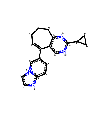 C1=C(c2ccc3nccn3c2)c2cnc(C3CC3)nc2CCC1